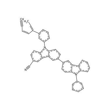 C#C/C=C\C(=C/C)c1cccc(-n2c3ccc(C#N)cc3c3cc(-c4ccc5c(c4)c4ccccc4n5-c4ccccc4)ccc32)c1